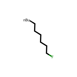 CCCCCCCCCCF